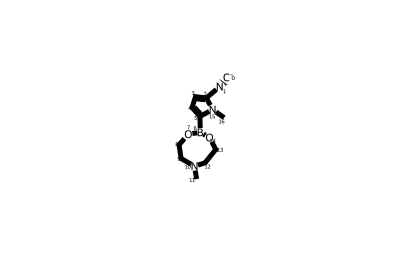 [C-]#[N+]c1ccc(B2OCCN(C)CCO2)n1C